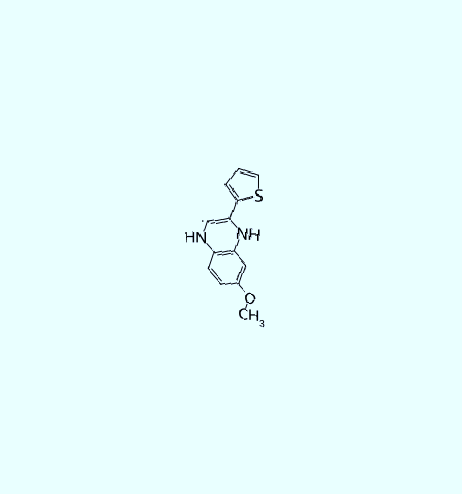 COc1ccc2c(c1)NC(c1cccs1)=[C]N2